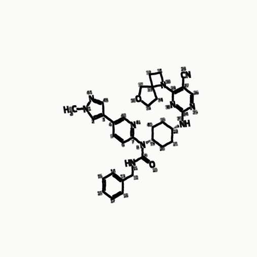 Cn1cc(-c2ccc(N(C(=O)NCc3ccccc3)[C@H]3CC[C@@H](Nc4ncc(C#N)c(N5CCC56CCOC6)n4)CC3)nc2)cn1